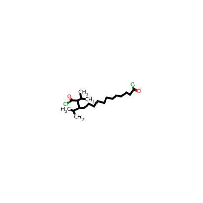 CC(C)C(CCCCCCCCCCCC(=O)Cl)C(C(=O)Cl)C(C)C